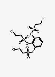 O=S(=O)(CCCl)Oc1cccc(OS(=O)(=O)CCCl)c1OS(=O)(=O)CCCl